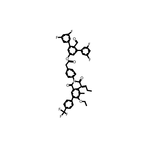 CC/C=C1/C(=O)N(c2ccc(CC(=O)Oc3cc(-c4cc(F)cc(F)c4)c(C=O)c(-c4cc(F)cc(F)c4)c3)cc2)C(=O)c2cc(-c3ccc(C(F)(F)F)cc3)c(OCC)c(C)c21